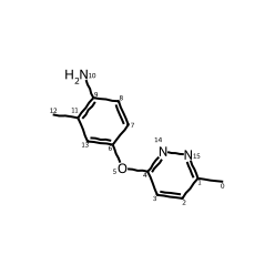 Cc1ccc(Oc2ccc(N)c(C)c2)nn1